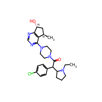 CCN1CCCC1C(C(=O)N1CCN(c2ncnc3c2[C@H](C)C[C@H]3O)CC1)c1ccc(Cl)cc1